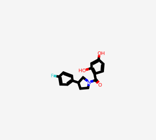 O=C(c1ccc(O)cc1O)N1CCC(c2ccc(F)cc2)C1